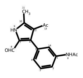 CC(=O)Nc1cccc(-c2c(C=O)[nH]c(C)c2C(C)=O)c1